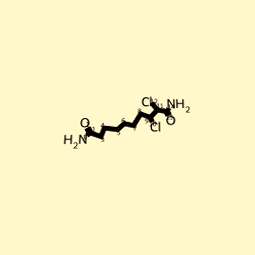 NC(=O)CCCCCCC(Cl)C(Cl)C(N)=O